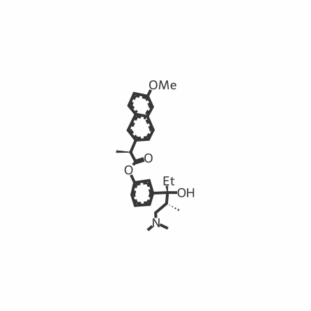 CC[C@](O)(c1cccc(OC(=O)[C@@H](C)c2ccc3cc(OC)ccc3c2)c1)[C@H](C)CN(C)C